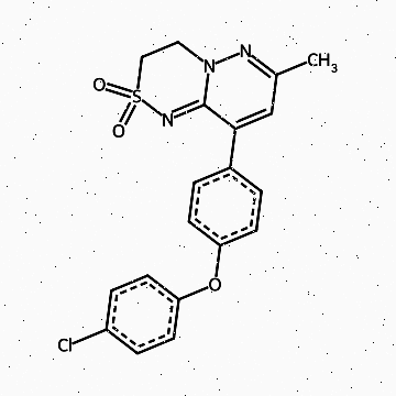 CC1=NN2CCS(=O)(=O)N=C2C(c2ccc(Oc3ccc(Cl)cc3)cc2)=C1